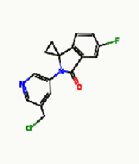 O=C1c2cc(F)ccc2C2(CC2)N1c1cncc(CCl)c1